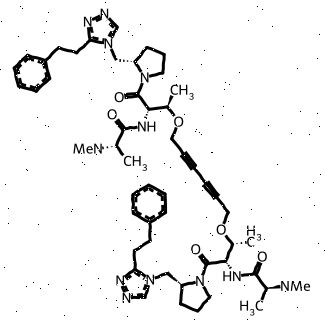 CN[C@@H](C)C(=O)N[C@H](C(=O)N1CCC[C@H]1Cn1cnnc1CCc1ccccc1)[C@@H](C)OCC#CC#CCO[C@H](C)[C@H](NC(=O)[C@H](C)NC)C(=O)N1CCC[C@H]1Cn1cnnc1CCc1ccccc1